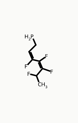 CC(F)/C(F)=C(F)\C(F)=C/CP